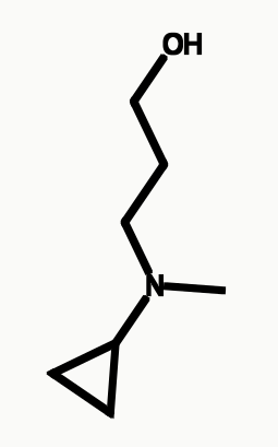 CN(CCCO)C1CC1